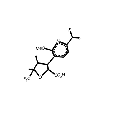 COc1nc(C(F)F)ccc1C1C(C(=O)O)OC(C)(C(F)(F)F)C1C